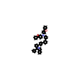 c1ccc(-c2c3cccc(-c4ccc(-c5cccc(-c6cccc(N(c7ccc8c(c7)oc7ccccc78)c7ccc8c(c7)oc7ccccc78)c6)c5)cc4)c3n3ccc4ccccc4c23)cc1